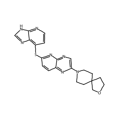 c1cc(Sc2ccc3nc(N4CCC5(CCOC5)CC4)cnc3n2)c2nc[nH]c2n1